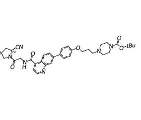 CC(C)(C)OC(=O)N1CCN(CCCOc2ccc(-c3ccc4c(C(=O)NCC(=O)N5CC(F)(F)C[C@H]5C#N)ccnc4c3)cc2)CC1